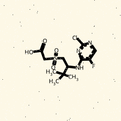 CC(C)(C)C(CS(=O)(=O)CC(=O)O)Nc1nc(Cl)ncc1F